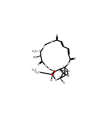 C.CC1=C[C@H]2O[C@H]3C[C@H]4OC(=O)/C=C/C=C/C(=O)OCC[C@@H](C)[C@H](O)C(=O)OC[C@@]2(CC1)[C@@]4(C)[C@]31CO1